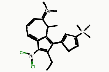 CCC1=[C]([Hf]([Cl])[Cl])C2=CC=C[C](=[Ge]([CH3])[CH3])C(C)C2=C1C1=CC([Si](C)(C)C)=CC1